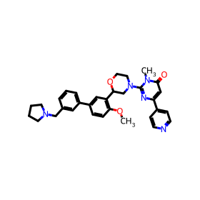 COc1ccc(-c2cccc(CN3CCCC3)c2)cc1C1CN(c2nc(-c3ccncc3)cc(=O)n2C)CCO1